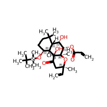 C=CC(=O)O[C@H]1[C@@H](O)[C@H]2C(C)(C)CC[C@H](O[Si](C)(C)C(C)(C)C)[C@]2(C)[C@@]2(O)C(=O)C[C@](C)(C=C)O[C@]12C